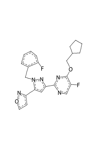 Fc1ccccc1Cn1nc(-c2ncc(F)c(OCC3CCCC3)n2)cc1-c1ccon1